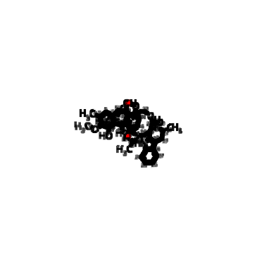 COc1c(C)cc2c(c1O)[C@H]1[C@@H]3[C@@H]4SC[C@]5(N[C@@H](C)Cc6c5[nH]c5ccccc65)C(=O)OCC(c5c6c(c(C)c(OC(C)=O)c54)OCO6)N3C(O)(C2)CN1C